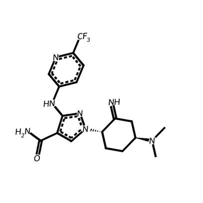 CN(C)[C@H]1CC[C@H](n2cc(C(N)=O)c(Nc3ccc(C(F)(F)F)nc3)n2)C(=N)C1